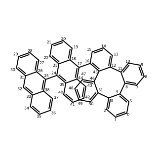 c1ccc2c(c1)-c1ccccc1-c1cccc(-c3c4ccccc4c(-c4c5ccccc5cc5ccccc45)c4ccccc34)c1-c1ccccc1-2